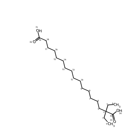 CCC(CC)(CCCCCCCCCCCCCCC(=O)O)C(=O)O